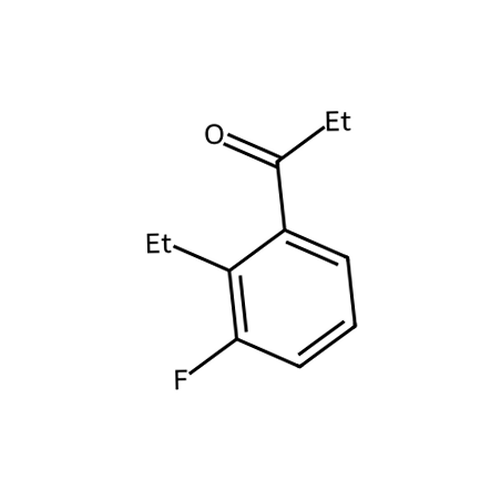 CCC(=O)c1cccc(F)c1CC